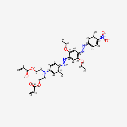 C=CC(=O)OCCN(CCOC(=O)C=C)c1ccc(/N=N/c2cc(OCC)c(/N=N/C3=CC=C([N+](=O)[O-])C(C)C3)cc2OCC)c(C)c1